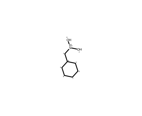 O[SiH](O)CC1CCCCC1